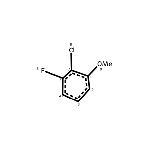 COc1cc[c]c(F)c1Cl